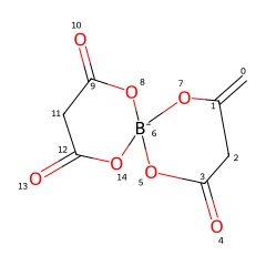 C=C1CC(=O)O[B-]2(O1)OC(=O)CC(=O)O2